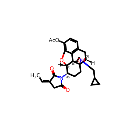 CC=C1CC(=O)N([C@@H]2CCC3(O)[C@H]4Cc5ccc(OC(C)=O)c6c5[C@@]3(CCN4CC3CC3)[C@H]2O6)C1=O